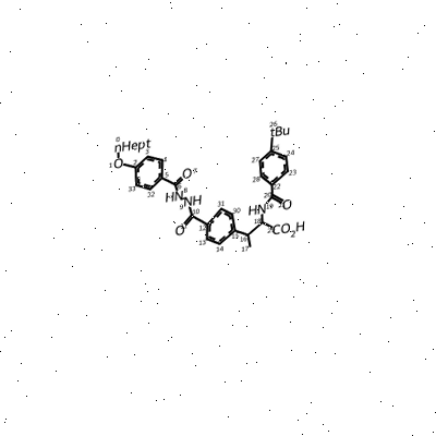 CCCCCCCOc1ccc(C(=O)NNC(=O)c2ccc(C(C)C(NC(=O)c3ccc(C(C)(C)C)cc3)C(=O)O)cc2)cc1